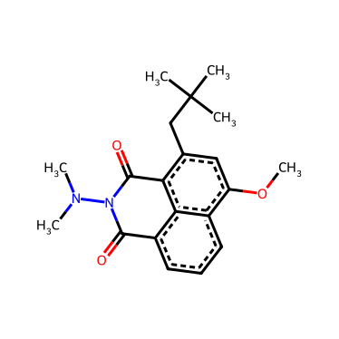 COc1cc(CC(C)(C)C)c2c3c(cccc13)C(=O)N(N(C)C)C2=O